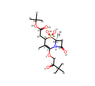 CC1=C(OCC(=O)C(C)(C)C)N2C(=O)C[C@@H]2S(=O)(=O)C1CC(=O)OC(C)(C)C